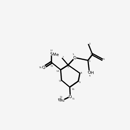 C=C(C)C(O)OC1(C)CCC(OC(C)(C)C)CC1C(=O)SC